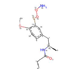 CCC(=O)N[C@H](C)Cc1ccc(OC)c(SOON)c1